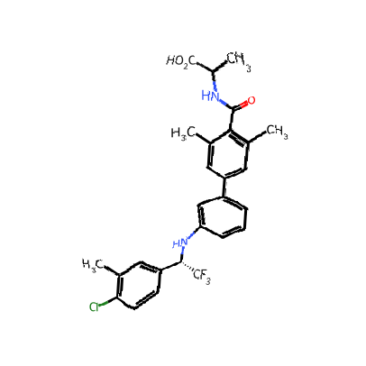 Cc1cc([C@H](Nc2cccc(-c3cc(C)c(C(=O)NC(C)C(=O)O)c(C)c3)c2)C(F)(F)F)ccc1Cl